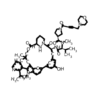 CC(C)c1ncccc1-c1c2c3cc(ccc3n1C)-c1cc(O)cc(c1)C[C@H](NC(=O)[C@H](C(C)C)N(C)C(=O)[C@H]1CCN(C(=O)C#CCN3CCOCC3)C1)C(=O)N1CCC[C@H](N1)C(=O)OCC(C)(C)C2